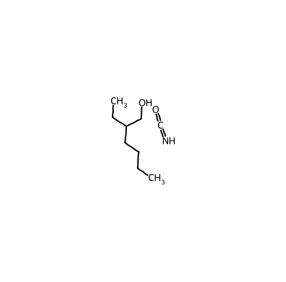 CCCCC(CC)CO.N=C=O